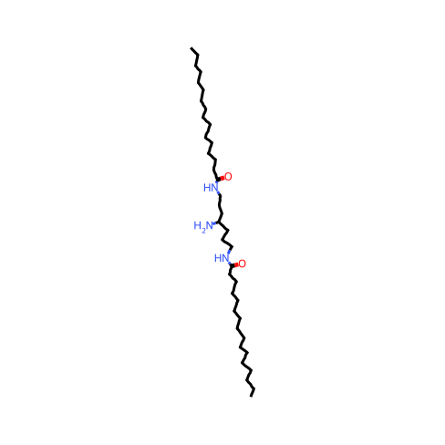 CCCCCCCCCCCCCCCC(=O)NCCCC(N)CCCNC(=O)CCCCCCCCCCCCCCC